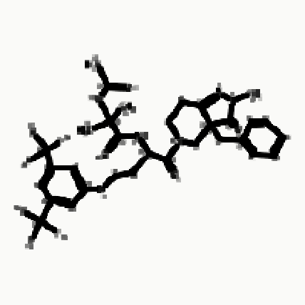 CN1N=C2CCN(C(=O)[C@@H](CCOc3cc(C(F)(F)F)cc(C(F)(F)F)c3)NC(=O)C(C)(C)OC(N)=O)C[C@@]2(Cc2ccccc2)C1=O